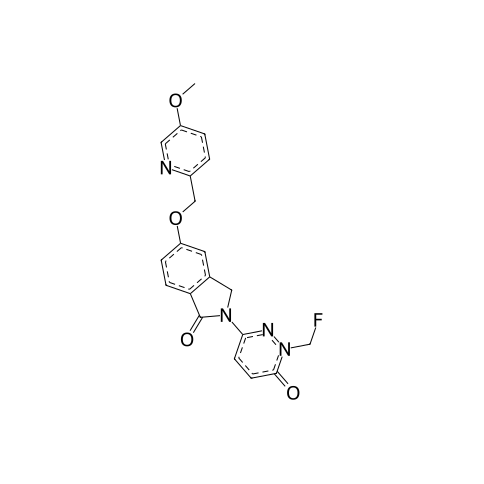 COc1ccc(COc2ccc3c(c2)CN(c2ccc(=O)n(CF)n2)C3=O)nc1